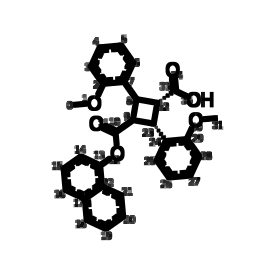 COc1ccccc1C1C(C(=O)Oc2cccc3ccccc23)[C@@H](c2ccccc2OC)[C@H]1C(=O)O